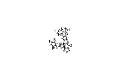 CC(C)C(Nc1ccc(CNC(=O)[C@@H]2SCCN2C(=O)C[C@H](N)Cc2cc(F)c(F)cc2F)nc1)C(=O)O